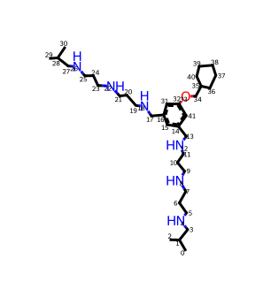 CC(C)CNCCCNCCCNCc1cc(CNCCCNCCCNCC(C)C)cc(OCC2CCCCC2)c1